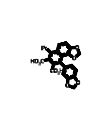 CC(C)c1c(C(=O)O)c(C(=O)O)c(-c2ccc3c(c2)OCO3)c2c3c(ccc12)OCO3